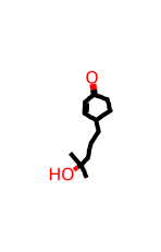 CC(C)(O)CCCC1C=CC(=O)CC1